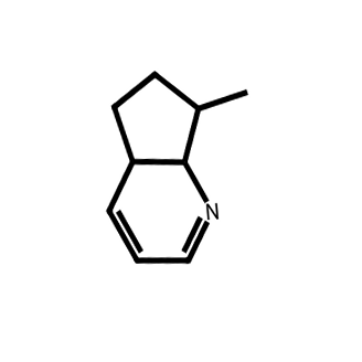 CC1CCC2C=CC=NC12